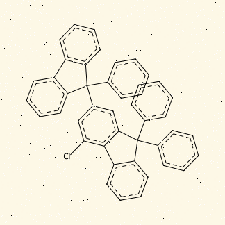 Clc1cc(C2(c3ccccc3)c3ccccc3-c3ccccc32)cc2c1-c1ccccc1C2(c1ccccc1)c1ccccc1